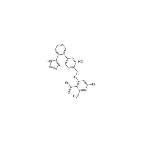 CCC(=O)c1c(OCc2ccc(-c3ccccc3-c3nnn[nH]3)cc2)cc(CC)nc1C.Cl